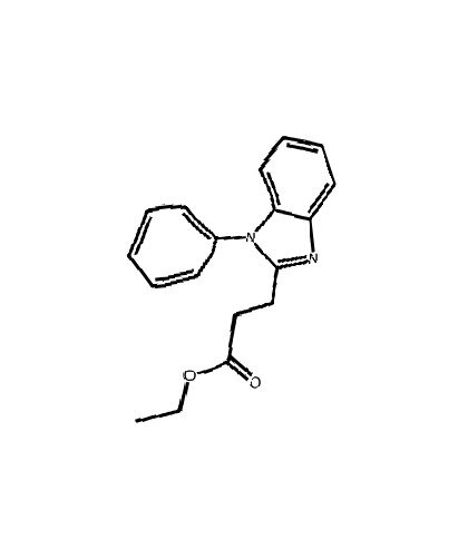 CCOC(=O)CCc1nc2ccccc2n1-c1ccccc1